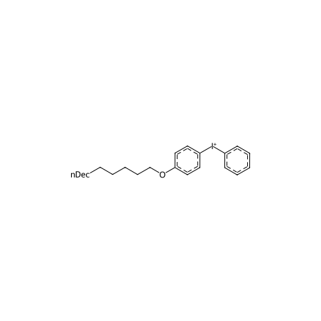 CCCCCCCCCCCCCCCOc1ccc([I+]c2ccccc2)cc1